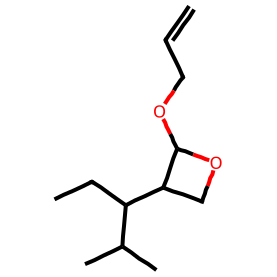 C=CCOC1OCC1C(CC)C(C)C